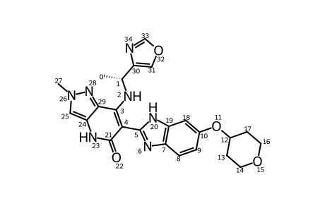 C[C@@H](Nc1c(-c2nc3ccc(OC4CCOCC4)cc3[nH]2)c(=O)[nH]c2cn(C)nc12)c1cocn1